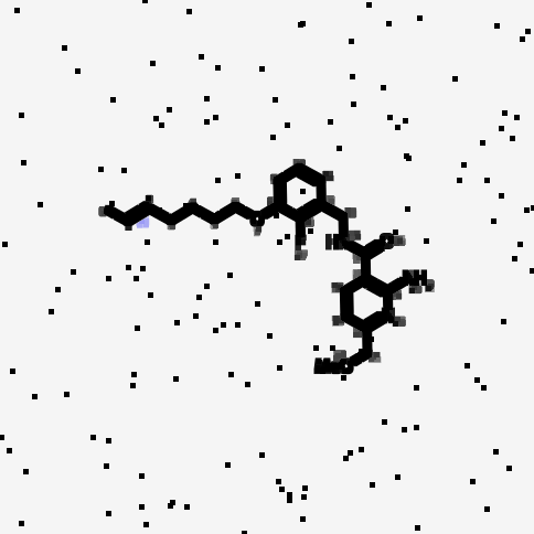 C/C=C/CCCCOc1cccc(CNC(=O)c2ccc(COC)nc2N)c1F